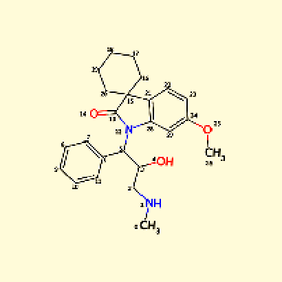 CNCC(O)C(c1ccccc1)N1C(=O)C2(CCCCC2)c2ccc(OC)cc21